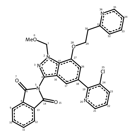 COCn1nc(N2C(=O)c3ccccc3C2=O)c2cc(-c3ncccc3Cl)cc(OCCc3ccccn3)c21